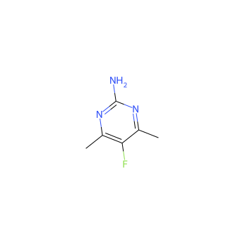 Cc1nc(N)nc(C)c1F